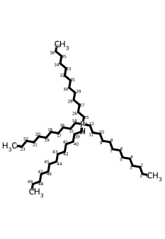 CCCCCCCCCCCCC[PH](CCCCCCCCCCC)(CCCCCCCCCCCCC)CCCCCCCCCCCCC